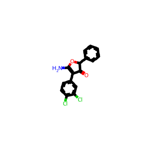 NC1=C(c2ccc(Cl)c(Cl)c2)C(=O)C(c2ccccc2)O1